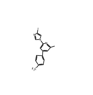 Cc1cc(-c2ccc(C(F)(F)F)cc2)cc(-n2cnc(I)c2)n1